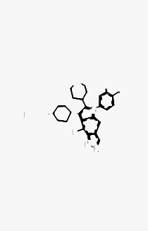 O=C(O)[C@H]1CC[C@H](c2c(C3CCOCC3)n(-c3ccc(F)c(F)c3)c3cc4cn[nH]c4c(F)c32)CC1